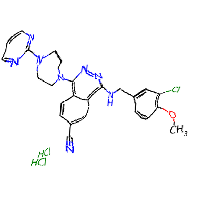 COc1ccc(CNc2nnc(N3CCN(c4ncccn4)CC3)c3ccc(C#N)cc23)cc1Cl.Cl.Cl